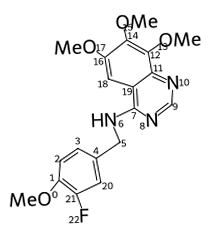 COc1ccc(CNc2ncnc3c(OC)c(OC)c(OC)cc23)cc1F